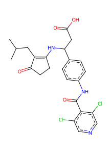 CC(C)CC1=C(NC(CC(=O)O)c2ccc(NC(=O)c3c(Cl)cncc3Cl)cc2)CCC1=O